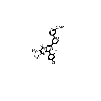 COc1cc(C2CC(c3cn4c(=O)c(C)c(C)nc4c(-c4ccc(Cl)cc4F)n3)CCO2)ccn1